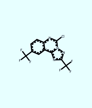 FC(F)(F)c1ccc2nc(Cl)n3nc(C(F)(F)F)nc3c2c1